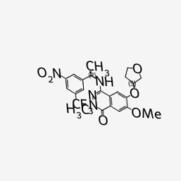 COc1cc2c(=O)n(C)nc(N[C@H](C)c3cc([N+](=O)[O-])cc(C(F)(F)F)c3)c2cc1O[C@H]1CCOC1